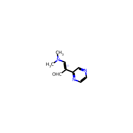 CN(C)/C=C(\C=O)c1cnccn1